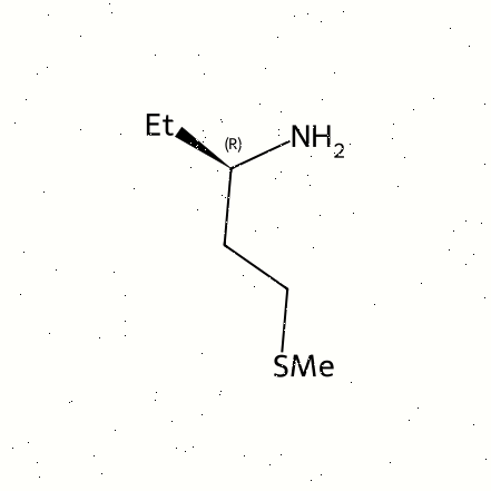 CC[C@@H](N)CCSC